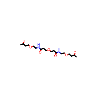 CC(=O)CCOCCNC(=O)CCOCCC(=O)NCCOCCC(C)=O